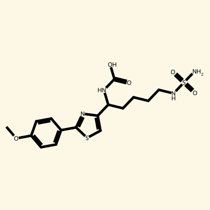 COc1ccc(-c2nc(C(CCCCNS(N)(=O)=O)NC(=O)O)cs2)cc1